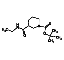 CCNC(=O)C1CCCN(C(=O)OC(C)(C)C)C1